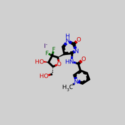 C[n+]1cccc(C(=O)Nc2nc(=O)[nH]cc2[C@H]2O[C@H](CO)[C@@H](O)C2(F)F)c1.[I-]